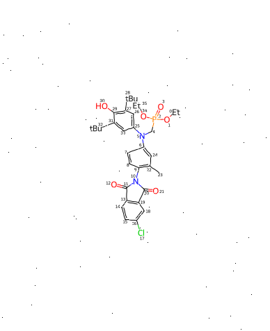 CCOP(=O)(CN(c1ccc(N2C(=O)c3ccc(Cl)cc3C2=O)c(C)c1)c1cc(C(C)(C)C)c(O)c(C(C)(C)C)c1)OCC